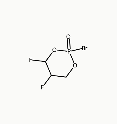 O=P1(Br)OCC(F)C(F)O1